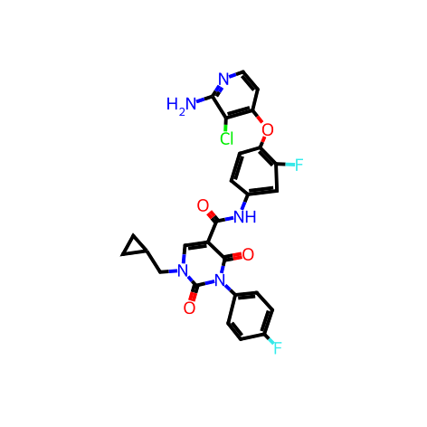 Nc1nccc(Oc2ccc(NC(=O)c3cn(CC4CC4)c(=O)n(-c4ccc(F)cc4)c3=O)cc2F)c1Cl